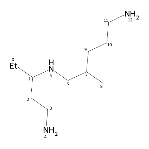 CCC(CCN)NCC(C)CCCN